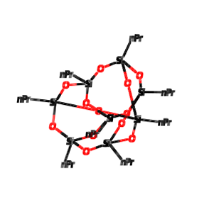 CCC[Si]12O[Si]3(CCC)O[Si]4(CCC)O[Si](CCC)(O1)O[Si]1(CCC)O[Si](CCC)(O2)O[Si](CCC)(O3)O[Si](CCC)(O4)O1